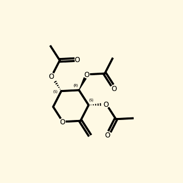 C=C1OC[C@H](OC(C)=O)[C@@H](OC(C)=O)[C@@H]1OC(C)=O